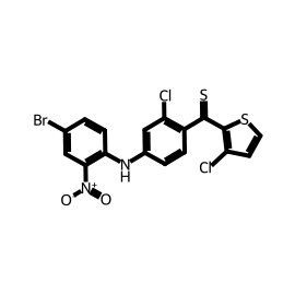 O=[N+]([O-])c1cc(Br)ccc1Nc1ccc(C(=S)c2sccc2Cl)c(Cl)c1